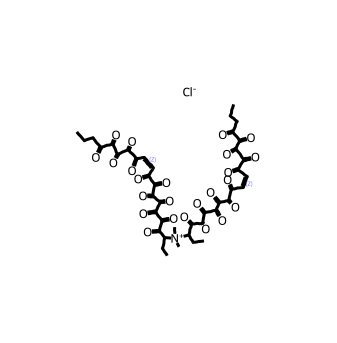 CCCC(=O)C(=O)C(=O)C(=O)C(=O)/C=C\C(=O)C(=O)C(=O)C(=O)C(=O)C(=O)C(=O)C(CC)[N+](C)(C)C(CC)C(=O)C(=O)C(=O)C(=O)C(=O)C(=O)C(=O)/C=C\C(=O)C(=O)C(=O)C(=O)C(=O)CCC.[Cl-]